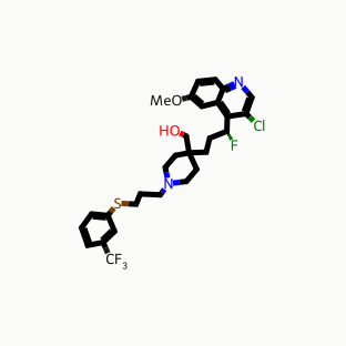 COc1ccc2ncc(Cl)c([C@@H](F)CCC3(CO)CCN(CCCSc4cccc(C(F)(F)F)c4)CC3)c2c1